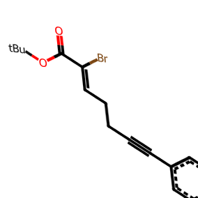 CC(C)(C)OC(=O)C(Br)=CCCC#Cc1ccccc1